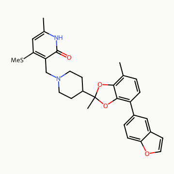 CSc1cc(C)[nH]c(=O)c1CN1CCC(C2(C)Oc3c(C)ccc(-c4ccc5occc5c4)c3O2)CC1